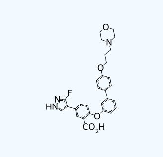 O=C(O)c1cc(-c2c[nH]nc2F)ccc1Oc1cccc(-c2ccc(OCCCN3CCOCC3)cc2)c1